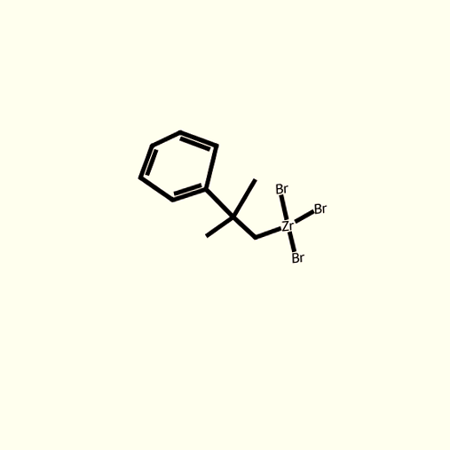 CC(C)([CH2][Zr]([Br])([Br])[Br])c1ccccc1